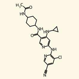 CC(=O)NC1CCC(NC(=O)c2cnc(Nc3ncc(C#N)cc3Cl)cc2NC2CC2)CC1